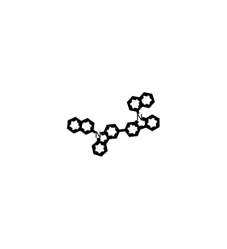 c1ccc2cc(-n3c4ccccc4c4cc(-c5ccc6c7ccccc7n(-c7cccc8ccccc78)c6c5)ccc43)ccc2c1